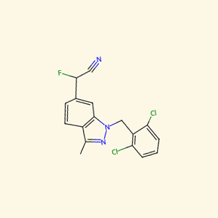 Cc1nn(Cc2c(Cl)cccc2Cl)c2cc(C(F)C#N)ccc12